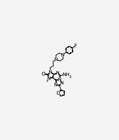 Cn1c(=O)n(CCCN2CCN(c3ccc(F)cc3)CC2)c2nc(N)n3nc(-c4ccco4)nc3c21